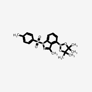 Cc1ccc(S(=O)(=O)n2nc(C)c3c(B4OC(C)(C)C(C)(C)O4)cccc32)cc1